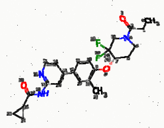 CCC(=O)N1CC[C@H](Oc2ccc(-c3ccnc(NC(=O)C4CC4)c3)cc2C)C(F)(F)C1